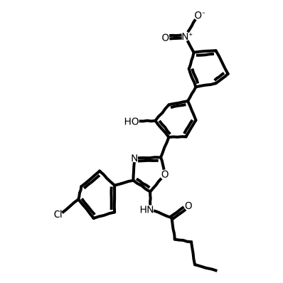 CCCCC(=O)Nc1oc(-c2ccc(-c3cccc([N+](=O)[O-])c3)cc2O)nc1-c1ccc(Cl)cc1